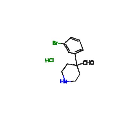 Cl.O=CC1(c2cccc(Br)c2)CCNCC1